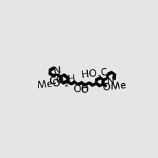 COc1cc(/C=C/C(=O)/C=C(O)/C=C/c2ccc(-c3ncccc3C(=O)O)c(OC)c2)ccc1-c1ncccc1C(=O)O